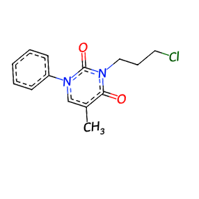 Cc1cn(-c2ccccc2)c(=O)n(CCCCl)c1=O